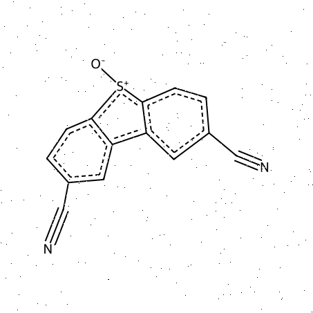 N#Cc1ccc2c(c1)c1cc(C#N)ccc1[s+]2[O-]